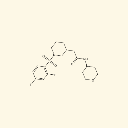 O=C(CC1CCCN(S(=O)(=O)c2ccc(F)cc2F)C1)NN1CCOCC1